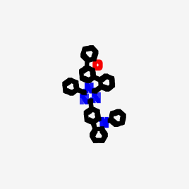 c1ccc(-c2nc(-c3ccc4c5ccccc5n(-c5ccccc5)c4c3)nc(-c3ccccc3-c3cccc4c3oc3ccccc34)n2)cc1